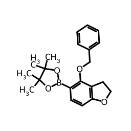 CC1(C)OB(c2ccc3c(c2OCc2ccccc2)CCO3)OC1(C)C